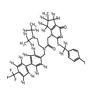 [2H]c1c([2H])c(-c2c([2H])c([2H])c(C(F)(F)F)c([2H])c2[2H])c([2H])c([2H])c1CN(CCN(C([2H])([2H])C)C([2H])([2H])C)C(=O)Cn1c(SC([2H])([2H])c2ccc(F)cc2)nc(=O)c2c1C([2H])([2H])C([2H])(C)C2([2H])[2H]